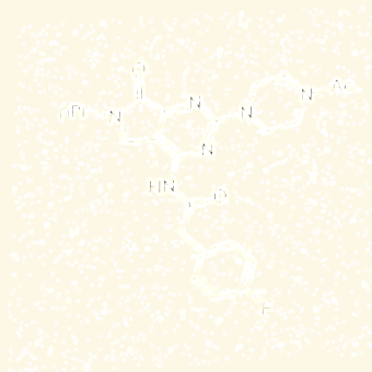 CCCN1Cc2c(NC(=O)Cc3ccc(F)cc3)nc(N3CCN(C(C)=O)CC3)nc2C1=O